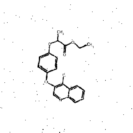 CCOC(=O)C(C)Oc1ccc(Oc2cnc3ccccc3c2Cl)cc1